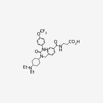 CCN(CC)C1CCC(N(Cc2ccc(C(=O)NCCC(=O)O)cc2)C(=O)Nc2ccc(OC(F)(F)F)cc2)CC1